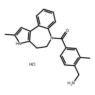 Cc1cc2c([nH]1)CCN(C(=O)c1ccc(CN)c(C)c1)c1ccccc1-2.Cl